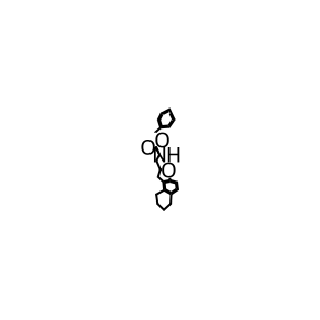 O=C(NCC1Cc2c(ccc3c2CCCC3)O1)OCc1ccccc1